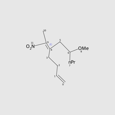 C=CCC/C(CC(CCC)OC)=C(/C)[N+](=O)[O-]